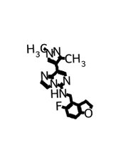 Cc1nn(C)cc1-c1cnc(NCc2c(F)ccc3c2CCO3)n2ccnc12